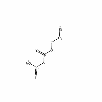 CCOCOC(=O)CS(=O)O